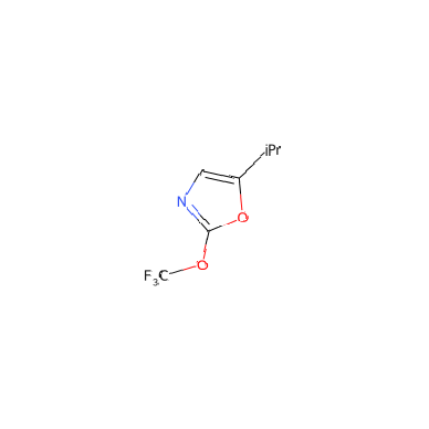 CC(C)c1cnc(OC(F)(F)F)o1